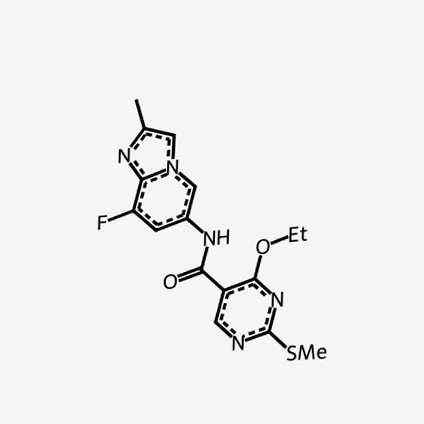 CCOc1nc(SC)ncc1C(=O)Nc1cc(F)c2nc(C)cn2c1